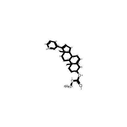 CCCCCCOC(=O)OC1CCC2(C)C(=CCC3C2CCC2(C)C(c4cccnc4)=CCC32)C1